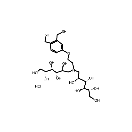 Cl.OC[C@@H](O)[C@@H](O)[C@@H](O)[C@@H](O)CN(CCOc1ccc(CS)c(CS)c1)C[C@H](O)[C@H](O)[C@H](O)[C@H](O)CO